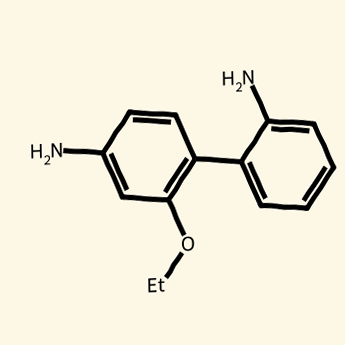 CCOc1cc(N)ccc1-c1ccccc1N